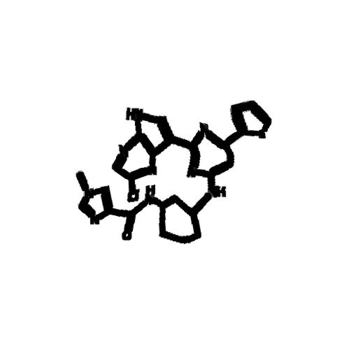 Cn1cnc(C(=O)NC2CCCC(Nc3cc(-c4cccs4)nc(-c4c[nH]c5ncc(Cl)nc45)n3)C2)c1